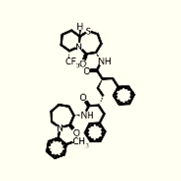 Cc1ccccc1N1CCCC[C@H](NC(=O)[C@H](CC[C@H](Cc2ccccc2)C(=O)N[C@H]2CCS[C@H]3CCC[C@@H](C(F)(F)F)N3C2=O)Cc2ccccc2)C1=O